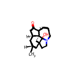 C[C@@H]1C[C@H]2CC(=O)[C@H]3CCCN4CCC5(C1)C[C@]23[C@]45O